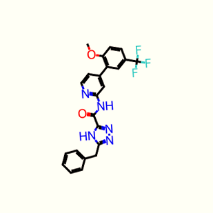 COc1ccc(C(F)(F)F)cc1-c1ccnc(NC(=O)c2nnc(Cc3ccccc3)[nH]2)c1